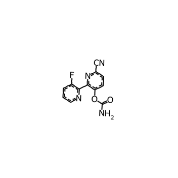 N#Cc1ccc(OC(N)=O)c(-c2ncccc2F)n1